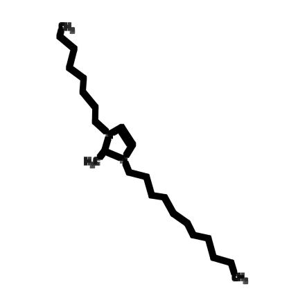 CCCCCCCCCCCN1C=CN(CCCCCCCC)C1C